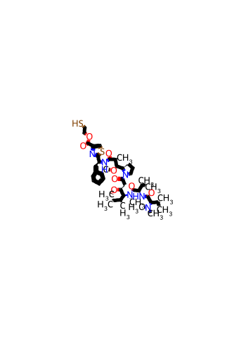 CC[C@H](C)[C@@H]([C@@H](CC(=O)N1CCC[C@H]1[C@H](OC)[C@@H](C)C(=O)N[C@@H](Cc1ccccc1)c1nc(C(=O)OCCS)cs1)OC)N(C)C(=O)[C@@H](NC(=O)C(C(C)C)N(C)C)C(C)C